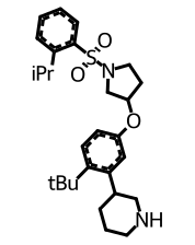 CC(C)c1ccccc1S(=O)(=O)N1CCC(Oc2ccc(C(C)(C)C)c(C3CCCNC3)c2)C1